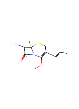 C/C=C/C1=C(OC(=O)O)N2C(=O)C(N)[C@@H]2SC1